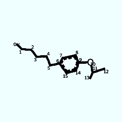 [CH2]CCCCCc1ccc(OC(C)C)cc1